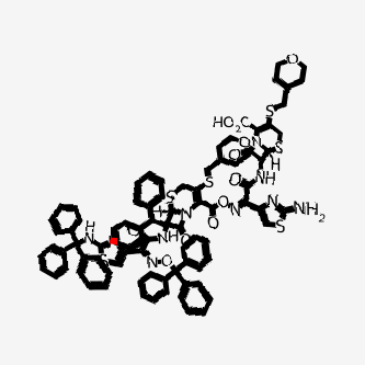 Nc1nc(/C(=N/OC(=O)C2=C(SCC3CCOCC3)CS[C@@H]3N2C(=O)C3(NC(=O)/C(=N\OC(c2ccccc2)(c2ccccc2)c2ccccc2)c2csc(NC(c3ccccc3)(c3ccccc3)c3ccccc3)n2)C(c2ccccc2)c2ccccc2)C(=O)NC2C(=O)N3C(C(=O)O)=C(SCC4CCOCC4)CS[C@@H]23)cs1